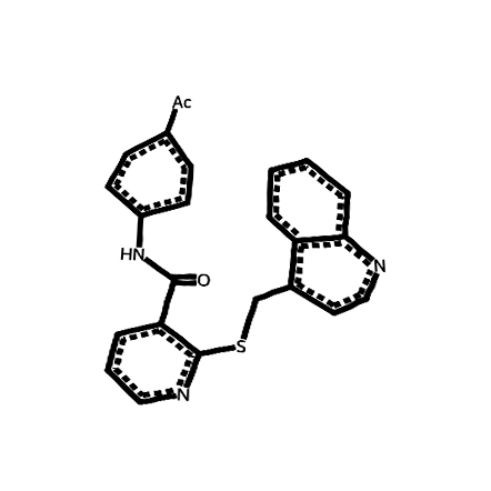 CC(=O)c1ccc(NC(=O)c2cccnc2SCc2ccnc3ccccc23)cc1